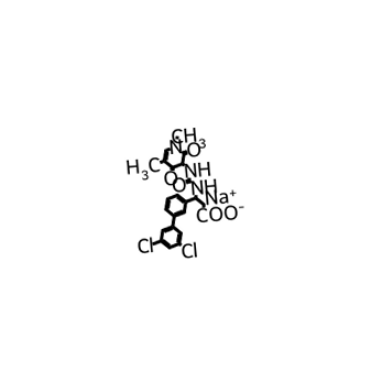 CC1=CN(C)C(=O)C(NC(=O)NC(CC(=O)[O-])c2cccc(-c3cc(Cl)cc(Cl)c3)c2)C1=O.[Na+]